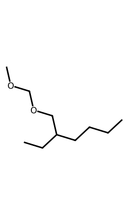 CCCCC(CC)COCOC